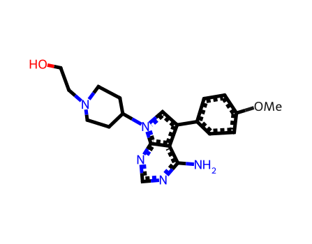 COc1ccc(-c2cn(C3CCN(CCO)CC3)c3ncnc(N)c23)cc1